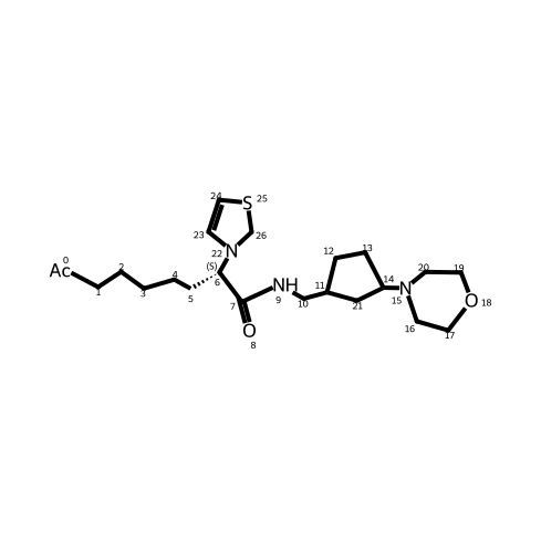 CC(=O)CCCCC[C@@H](C(=O)NCC1CCC(N2CCOCC2)C1)N1C=CSC1